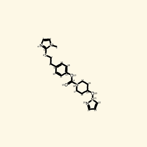 Cn1ccnc1SCCc1ccc(OC(=O)N2CCC(On3cccn3)CC2)cc1